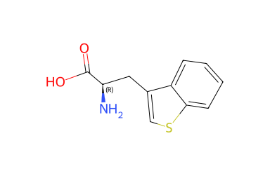 N[C@H](Cc1csc2ccccc12)C(=O)O